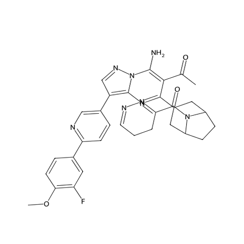 COc1ccc(-c2ccc(-c3cnn4c(N)c(C(C)=O)c(C5CC6CCC(C5)N6C(=O)C5=NN=CCC5)nc34)cn2)cc1F